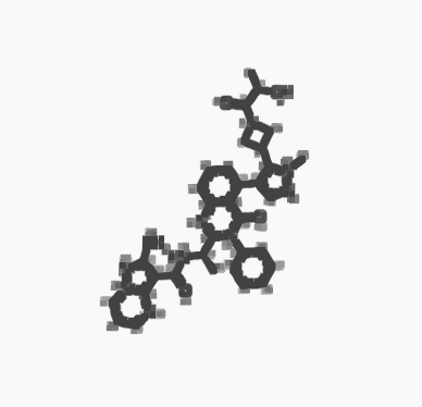 CC(O)C(=O)N1CC(c2c(-c3cccc4nc([C@@H](C)NC(=O)c5c(N)nn6cccnc56)n(-c5ccccc5)c(=O)c34)cnn2C)C1